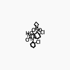 NC(=O)N(c1ccccc1Cl)c1ccc(Cl)c(S(=O)(=O)N2CCC2)c1O